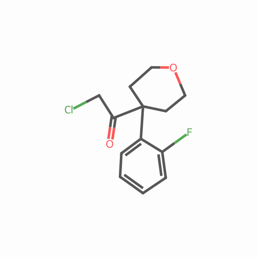 O=C(CCl)C1(c2ccccc2F)CCOCC1